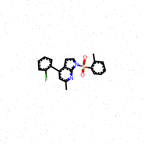 Cc1cc(-c2ccccc2F)c2ccn(S(=O)(=O)c3ccccc3C)c2n1